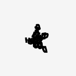 O=C(N1CCN(C2COC2)CC1)N1CCc2cc(Cl)cc(C3COCCN3C(=O)O)c2C1